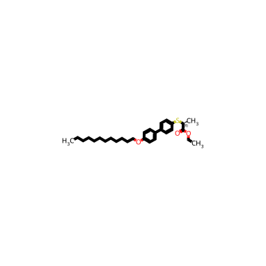 CCCCCCCCCCCCOc1ccc(-c2ccc(S[C@H](C)C(=O)OCC)cc2)cc1